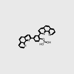 OP(O)Oc1ccc(-c2ccc3ccc4cccnc4c3n2)cc1-c1ccc2ccc3cccnc3c2n1